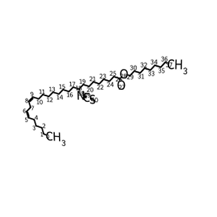 CCCCC/C=C\C/C=C\CCCCCCCCC(CCCCCCCC(=O)OCCCCCCCCC)N=C=S